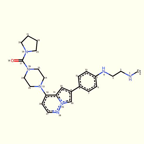 CCNCCNc1ccc(-c2cc3c(N4CCN(C(=O)N5CCCC5)CC4)ccnn3c2)cc1